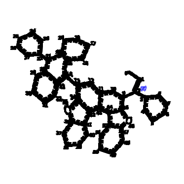 C/C=C(/c1ccccc1)c1cc2cc(-c3c4ccccc4c(-c4ccccc4)c4ccccc34)c3oc4ccccc4c3c2c2c1oc1ccccc12